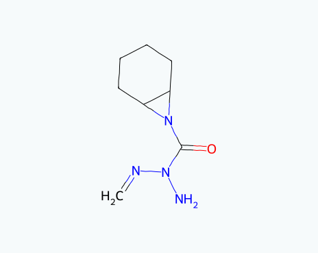 C=NN(N)C(=O)N1C2CCCCC21